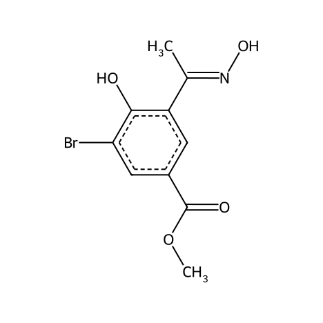 COC(=O)c1cc(Br)c(O)c(/C(C)=N/O)c1